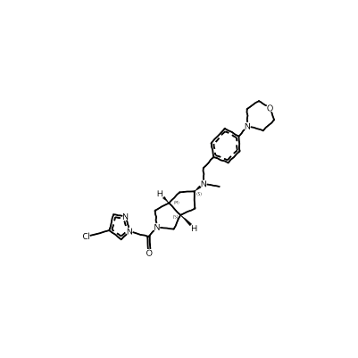 CN(Cc1ccc(N2CCOCC2)cc1)[C@H]1C[C@@H]2CN(C(=O)n3cc(Cl)cn3)C[C@@H]2C1